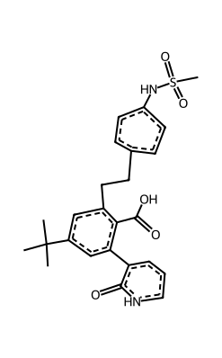 CC(C)(C)c1cc(CCc2ccc(NS(C)(=O)=O)cc2)c(C(=O)O)c(-c2ccc[nH]c2=O)c1